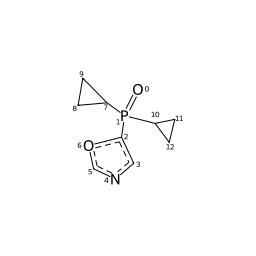 O=P(c1cnco1)(C1CC1)C1CC1